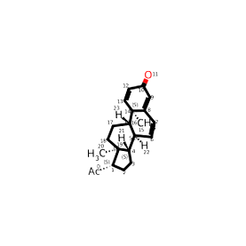 CC(=O)[C@H]1CC[C@H]2[C@@H]3C=CC4=CC(=O)C=C[C@]4(C)[C@H]3CC[C@]12C